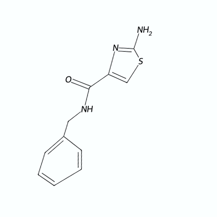 Nc1nc(C(=O)NCc2ccccc2)cs1